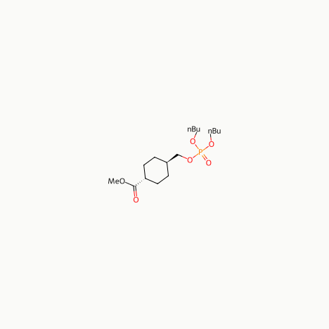 CCCCOP(=O)(OCCCC)OC[C@H]1CC[C@H](C(=O)OC)CC1